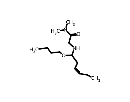 CC/C=C\CC(NCC(=O)N(C)C)OCCCC